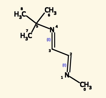 C/N=C/C=N/C(C)(C)C